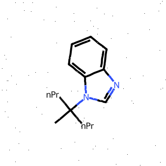 CCCC(C)(CCC)n1cnc2ccccc21